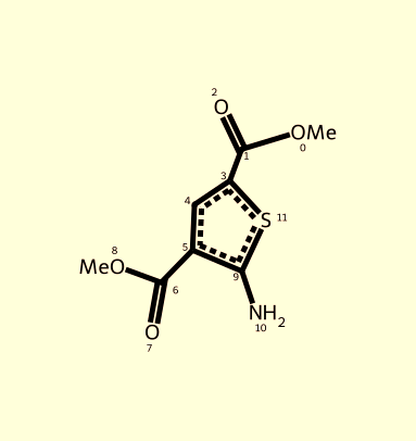 COC(=O)c1cc(C(=O)OC)c(N)s1